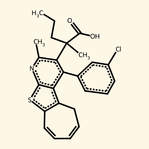 CCCC(C)(C(=O)O)c1c(C)nc2sc3c(c2c1-c1cccc(Cl)c1)CC=CC=C3